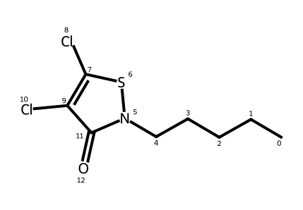 CCCCCn1sc(Cl)c(Cl)c1=O